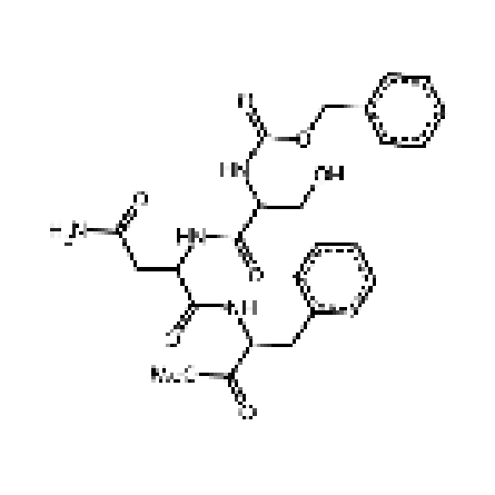 COC(=O)C(Cc1ccccc1)NC(=O)C(CC(N)=O)NC(=O)C(CO)NC(=O)OCc1ccccc1